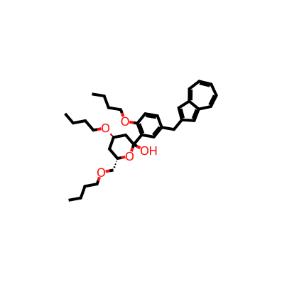 CCCCOC[C@@H]1C[C@H](OCCCC)CC(O)(c2cc(Cc3cc4cccccc-4c3)ccc2OCCCC)O1